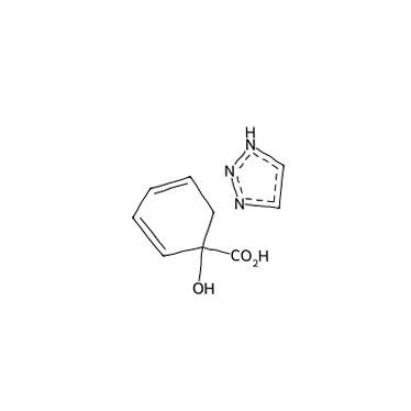 O=C(O)C1(O)C=CC=CC1.c1c[nH]nn1